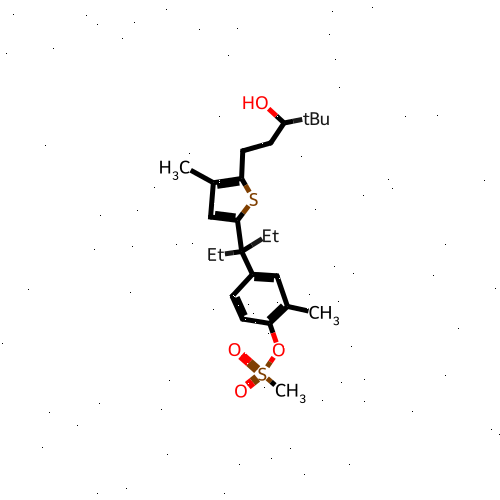 CCC(CC)(c1ccc(OS(C)(=O)=O)c(C)c1)c1cc(C)c(CCC(O)C(C)(C)C)s1